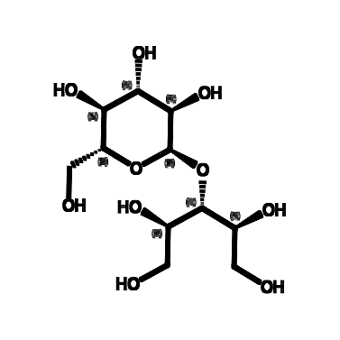 OC[C@@H](O)[C@H](O[C@H]1O[C@H](CO)[C@@H](O)[C@H](O)[C@H]1O)[C@@H](O)CO